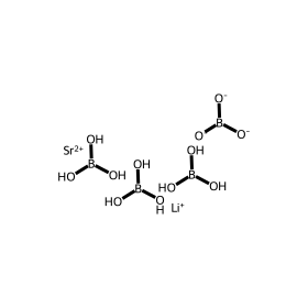 OB(O)O.OB(O)O.OB(O)O.[Li+].[O-]B([O-])[O-].[Sr+2]